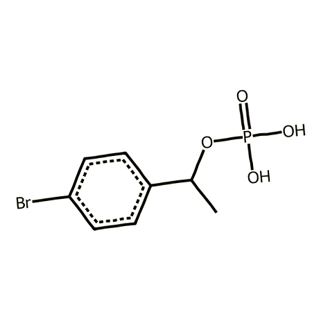 CC(OP(=O)(O)O)c1ccc(Br)cc1